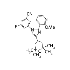 COc1ncccc1-c1nc(C2CC(C)(C)OC(C)(C)C2)cn1-c1cc(F)cc(C#N)c1